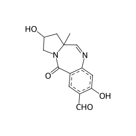 CC12C=Nc3cc(O)c(C=O)cc3C(=O)N1CC(O)C2